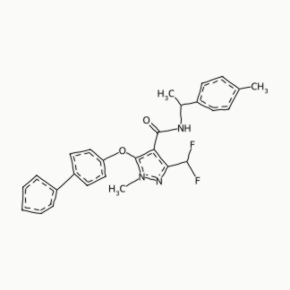 Cc1ccc(C(C)NC(=O)c2c(C(F)F)nn(C)c2Oc2ccc(-c3ccccc3)cc2)cc1